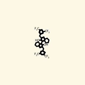 Oc1c(Cc2cc(C(F)(F)F)cc(C(F)(F)F)c2)cc2c(c1-c1c(O)c(Cc3cc(C(F)(F)F)cc(C(F)(F)F)c3)cc3c1CCCC3)CCCC2